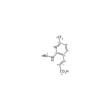 CCCCNc1nc(C(F)(F)F)ccc1/C=C/C(=O)O